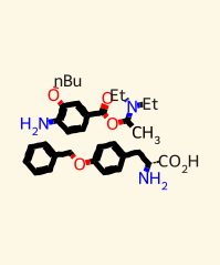 CCCCOc1cc(C(=O)OC(C)N(CC)CC)ccc1N.N[C@H](Cc1ccc(OCc2ccccc2)cc1)C(=O)O